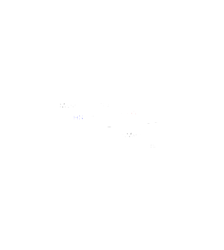 CONc1ccc(Oc2ccccc2)c(SC)c1